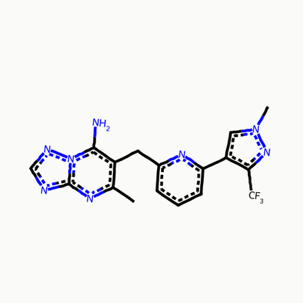 Cc1nc2ncnn2c(N)c1Cc1cccc(-c2cn(C)nc2C(F)(F)F)n1